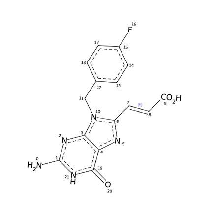 Nc1nc2c(nc(/C=C/C(=O)O)n2Cc2ccc(F)cc2)c(=O)[nH]1